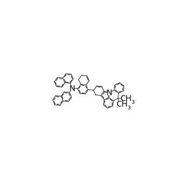 CC1(C)c2ccccc2-n2c3c(c4cccc1c42)CC(c1ccc(N(c2ccc4ccccc4c2)c2cccc4ccccc24)c2c1C=CCC2)C=C3